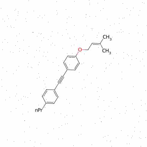 CCCc1ccc(C#Cc2ccc(OCC=C(C)C)cc2)cc1